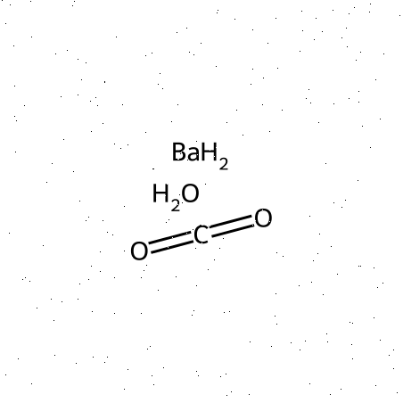 O.O=C=O.[BaH2]